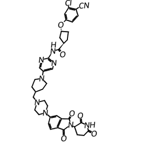 N#Cc1ccc(O[C@@H]2CC[C@@H](C(=O)Nc3ncc(N4CCC(CN5CCN(c6ccc7c(c6)C(=O)N(C6CCC(=O)NC6=O)C7=O)CC5)CC4)cn3)C2)cc1Cl